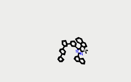 C[Si]1(C)c2ccc3ccccc3c2-c2c(-c3cccc(-c4cccc(-c5ccc(-c6ccccc6)cc5)c4)c3)nc(-c3cccc4ccccc34)nc21